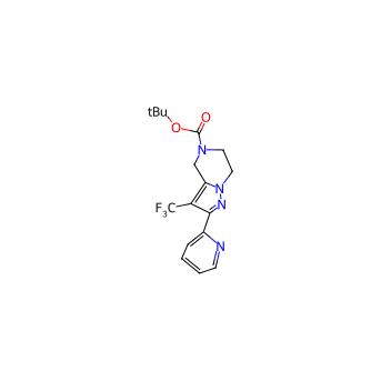 CC(C)(C)OC(=O)N1CCn2nc(-c3ccccn3)c(C(F)(F)F)c2C1